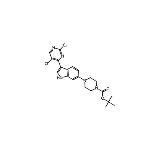 CC(C)(C)OC(=O)N1CCN(c2ccc3c(-c4nc(Cl)ncc4Cl)c[nH]c3c2)CC1